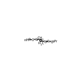 C=C(COCCOCCOCCC)c1ccc(C(C)COCCOCCOCCC)cc1